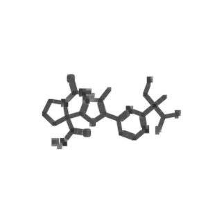 Cc1nc(C2(C(N)=O)CCCN2C(N)=O)sc1-c1ccnc(C(C)(CF)C(F)F)n1